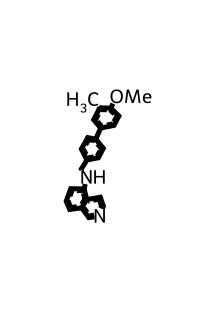 COc1ccc(-c2ccc(CNc3cccc4cnccc34)cc2)cc1C